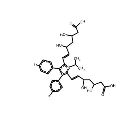 CC(C)n1c(/C=C/C(O)CC(O)CC(=O)O)c(-c2ccc(F)cc2)c(-c2ccc(F)cc2)c1/C=C/C(O)CC(O)CC(=O)O